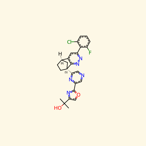 CC(C)(O)c1coc(-c2cncc([C@]34CC[C@H](C3)c3cc(-c5c(F)cccc5Cl)nnc34)n2)n1